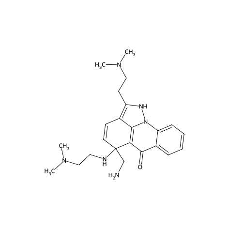 CN(C)CCNC1(CN)C=Cc2c(CCN(C)C)[nH]n3c2c1c(=O)c1ccccc13